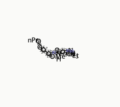 CCCOCCOc1ccc(-c2ccc(OC)c(/C=C/C(=O)Nc3ccc(/C=C(C)/N=C\NCC)cc3)c2)cc1